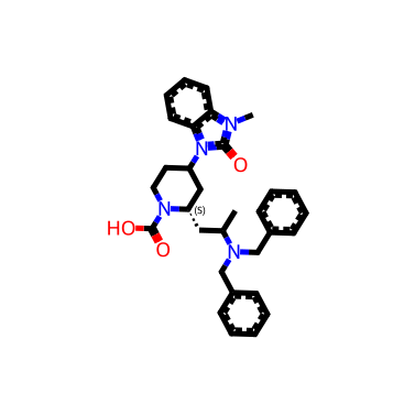 CC(C[C@H]1CC(n2c(=O)n(C)c3ccccc32)CCN1C(=O)O)N(Cc1ccccc1)Cc1ccccc1